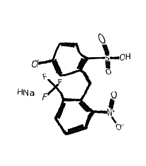 O=[N+]([O-])c1cccc(C(F)(F)F)c1Cc1cc(Cl)ccc1S(=O)(=O)O.[NaH]